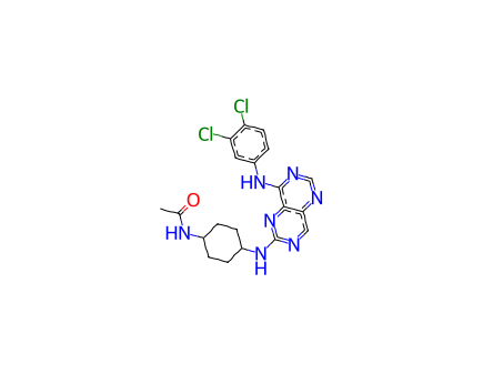 CC(=O)NC1CCC(Nc2ncc3ncnc(Nc4ccc(Cl)c(Cl)c4)c3n2)CC1